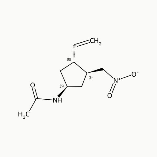 C=C[C@H]1C[C@H](NC(C)=O)C[C@@H]1C[N+](=O)[O-]